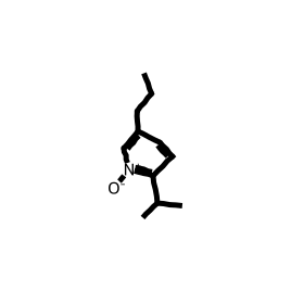 CCCc1ccc(C(C)C)[n+]([O-])c1